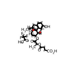 C[C@H](OC(=O)CCC(=O)O)C(=O)OC1=CC[C@@]2(O)[C@H]3Cc4ccc(O)c5c4[C@@]2(CCN3C)[C@H]1O5.O=C(O)C(F)(F)F